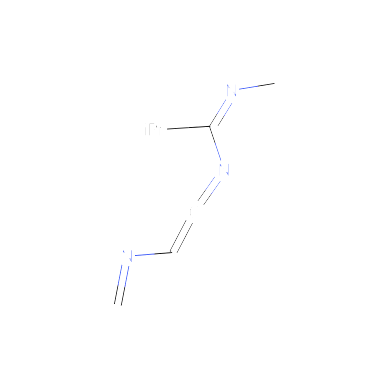 C=NC=C=N/C(=N\C)C(C)C